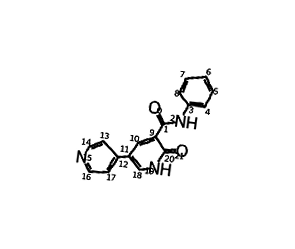 O=C(Nc1ccccc1)c1cc(-c2ccncc2)c[nH]c1=O